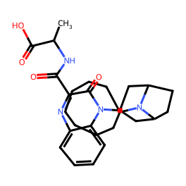 CC(NC(=O)c1nc2ccccc2n(C2CC3CCC(C2)N3C2CCCCCCC2)c1=O)C(=O)O